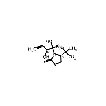 C=C[C@H](O)C(C)(O)N1C(=S)SC[C@@H]1C(C)(C)C